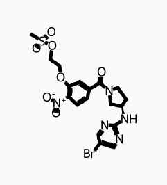 CS(=O)(=O)OCCOc1cc(C(=O)N2CC[C@@H](Nc3ncc(Br)cn3)C2)ccc1[N+](=O)[O-]